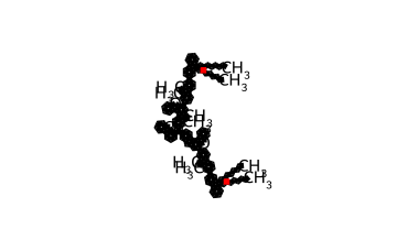 CCCCCCCCC1(CCCCCCCC)c2ccccc2-c2ccc(-c3ccc4c(c3)C(C)(C)c3cc(-c5cc6c(c7c5oc5ccccc57)-c5ccc(N(c7ccc8c(c7)C(C)(C)c7cc(-c9ccc%10c(c9)C(C)(C)c9cc(-c%11ccc%12c(c%11)C(CCCCCCCC)(CCCCCCCC)c%11ccccc%11-%12)ccc9-%10)c9oc%10ccccc%10c9c7-8)c7cccc8c7oc7ccccc78)cc5C6)ccc3-4)cc21